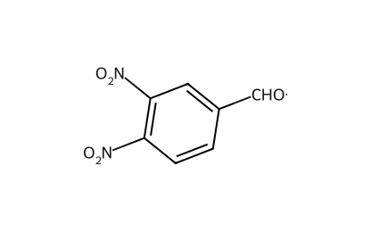 O=[C]c1ccc([N+](=O)[O-])c([N+](=O)[O-])c1